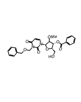 COC1[C@H](n2ccc(=O)n(COCc3ccccc3)c2=O)O[C@H](CO)[C@H]1OC(=O)c1ccccc1